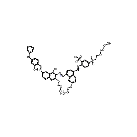 O=S(=O)(O)c1cc(S(=O)(=O)CCOSOOO)ccc1/N=N/c1ccc(/N=N/c2c(SOOO)cc3ccc(N=Nc4ccc(Nc5ccccc5)cc4O)cc3c2O)c2cc(SOOO)ccc12